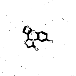 Cc1ccc(Cl)cc1N1C(=O)CSC1c1ccsc1